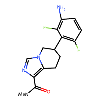 CNC(=O)c1ncn2c1CCC(c1c(F)ccc(N)c1F)C2